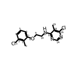 Cc1c(Cl)cccc1OCCNc1ncnc(Cl)c1C